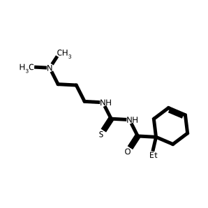 CCC1(C(=O)NC(=S)NCCCN(C)C)CC=CCC1